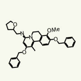 COc1c(OCc2ccccc2)ccc2c1CCn1c-2c(C)c(OCc2ccccc2)cc1=NCC1CCCO1